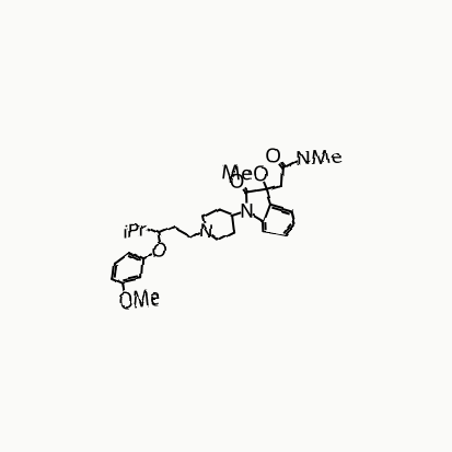 CNC(=O)CC1(OC)C(=O)N(C2CCN(CCC(Oc3cccc(OC)c3)C(C)C)CC2)c2ccccc21